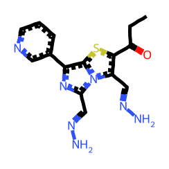 CCC(=O)c1sc2c(-c3cccnc3)nc(C=NN)n2c1C=NN